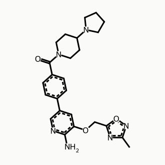 Cc1noc(COc2cc(-c3ccc(C(=O)N4CCC(N5CCCC5)CC4)cc3)cnc2N)n1